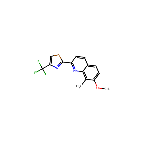 COc1ccc2[c]cc(-c3nc(C(F)(F)F)cs3)nc2c1C